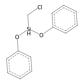 ClC[SiH](Oc1ccccc1)Oc1ccccc1